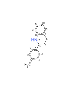 FC(F)(F)c1ccc(C2CCc3ccccc3N2)cc1